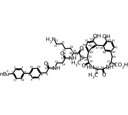 CCCCc1ccc(-c2ccc(CC(=O)NCCC(=O)N[C@@H](CCCCN)C(=O)N(C)[C@@H]3C(=O)N[C@@H](C)C(=O)N[C@H](C(=O)O)Cc4ccc(O)c(c4)-c4cc3ccc4O)cc2)cc1